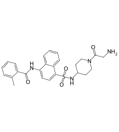 Cc1ccccc1C(=O)Nc1ccc(S(=O)(=O)NC2CCN(C(=O)CN)CC2)c2ccccc12